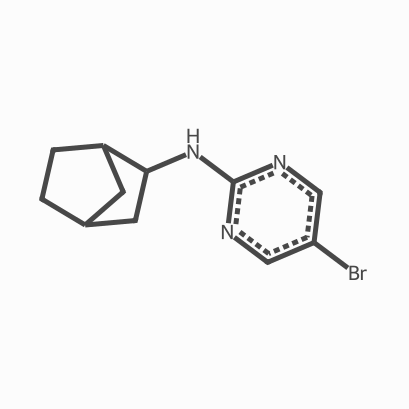 Brc1cnc(NC2CC3CCC2C3)nc1